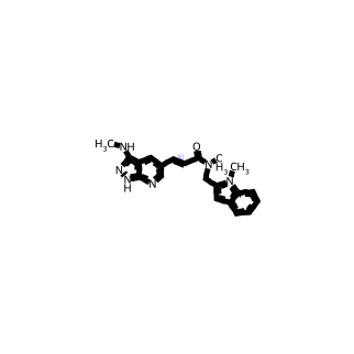 CNc1n[nH]c2ncc(/C=C/C(=O)N(C)Cc3cc4ccccc4n3C)cc12